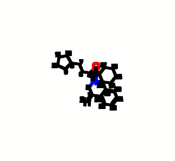 [2H]C1CN(C(=O)CCC2CCCC2)C2(CCCCC2)c2ccccc21